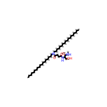 CCCCCCCCCCCCCCCCCCN(CCCCCCCCCCCCCCCCCC)C(=O)CCC(=O)NC(CO)C(=O)NC